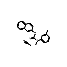 CC#N.Cc1cccc(N(C)C(=S)Oc2ccc3ccccc3c2)c1